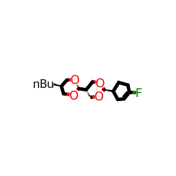 CCCC[C@H]1CO[C@H]([C@H]2CO[C@H](C3CC=C(F)CC3)OC2)OC1